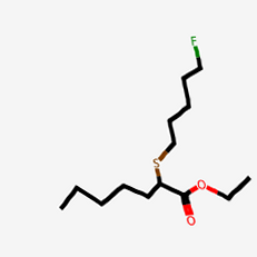 CCCCCC(SCCCCCF)C(=O)OCC